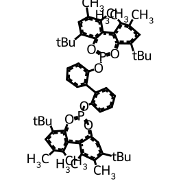 Cc1cc(C(C)(C)C)c2op(Oc3ccccc3-c3ccccc3Op3oc4c(C(C)(C)C)cc(C)c(C)c4c4c(C)c(C)cc(C(C)(C)C)c4o3)oc3cc(C(C)(C)C)c(C)c(C)c3c2c1C